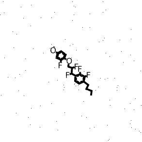 CCCCc1ccc(C(F)C(F)COc2ccc(OC)cc2F)c(F)c1F